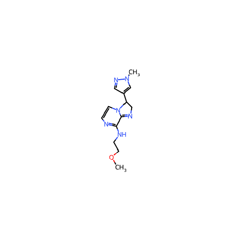 COCCNC1=NC=CN2C1=NCC2c1cnn(C)c1